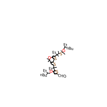 CCCCC(CC)COc1cc(C=O)sc1C(C)(CC)c1cc2c(s1)-c1sc(C(C)(CC)C(C)SC(C)(C)OCC(CC)CCCC)cc1OC2(C)C